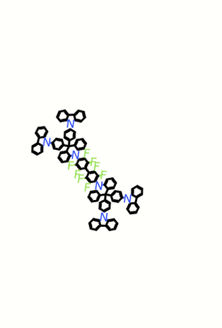 Fc1c(F)c(N2c3ccccc3C(c3ccc(-n4c5ccccc5c5ccccc54)cc3)(c3ccc(-n4c5ccccc5c5ccccc54)cc3)c3ccccc32)c(F)c(F)c1-c1c(F)c(F)c(N2c3ccccc3C(c3ccc(-n4c5ccccc5c5ccccc54)cc3)(c3ccc(-n4c5ccccc5c5ccccc54)cc3)c3ccccc32)c(F)c1F